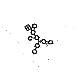 c1ccc(-c2ccc(N(c3ccc(-c4ccc5c(c4)-c4ccccc4C54C5CC6CC7CC4C675)c(-c4ccccc4)c3)c3ccc4c(c3)sc3ccccc34)cc2)cc1